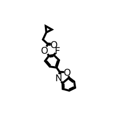 O=C(CC1CC1)Oc1ccc(-c2nc3ccccc3o2)cc1F